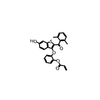 C=CC(=O)Oc1ccccc1Oc1c(C(=O)c2c(C)cccc2C)sc2cc(O)ccc12